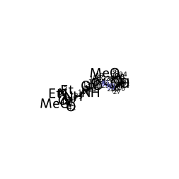 CCN(CC)C(=O)N[C@H](CCCCNC(=O)C[C@H]1CC[C@H](C)[C@@H](/C(C)=C/C=C/[C@@H](C)C[C@@]2(C)O[C@@H]2[C@H](C)[C@@H](OC)[C@@H](C)O)O1)C(=O)OC